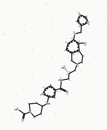 CCCC(=O)N1CCC(Nc2cc(C(=O)NC[C@H](O)CN3CCc4c(ccc(OCc5cnco5)c4Cl)C3)ccn2)CC1